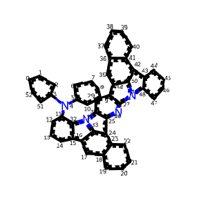 c1ccc(N(c2ccccc2)c2cccc3c4cc5ccccc5c5c6nc7c(cc6n(c23)c45)c2cc3ccccc3c3c4ccccc4n7c23)cc1